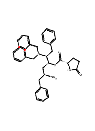 N[C@@H](Cc1ccccc1)C[C@H](OC(=O)[C@@H]1CCC(=O)N1)[C@H](Cc1ccccc1)N(Cc1ccccc1)Cc1ccccc1